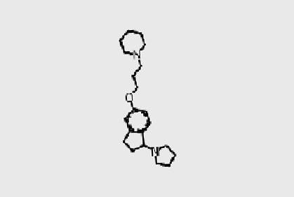 c1cc2c(cc1OCCCN1CCCCC1)CCC2N1CCCC1